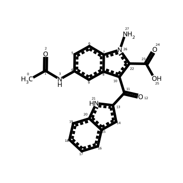 CC(=O)Nc1ccc2c(c1)c(C(=O)c1cc3ccccc3[nH]1)c(C(=O)O)n2N